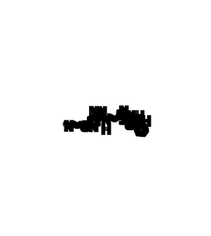 CN(C)CCCOc1cc2ncnc(NCCc3cnc(NC(=O)Nc4ccccc4)s3)c2cn1